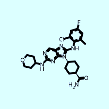 Cc1cc(F)cc(Cl)c1Nc1nc2cnc(NC3CCOCC3)nc2n1[C@H]1CC[C@H](C(N)=O)CC1